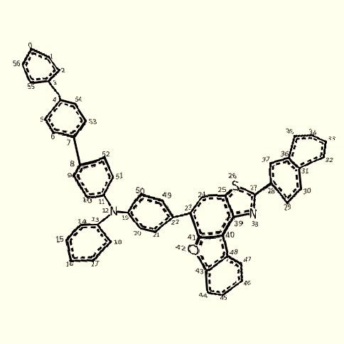 c1ccc(-c2ccc(-c3ccc(N(c4ccccc4)c4ccc(-c5cc6sc(-c7ccc8ccccc8c7)nc6c6c5oc5ccccc56)cc4)cc3)cc2)cc1